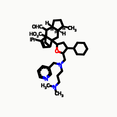 CC(C)C1=CC2CC3(C=O)[C@@H]4CC[C@@H](C)[C@H]4CC2(C2CC(C4CCCCC4)C(CN(CCCN(C)C)Cc4cccnc4)O2)C13C(=O)O